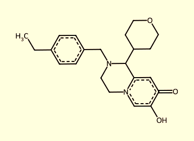 CCc1ccc(CN2CCn3cc(O)c(=O)cc3C2C2CCOCC2)cc1